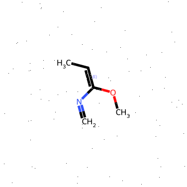 C=N/C(=C\C)OC